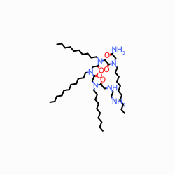 CCCCCCCCCCCN(CC(N)=O)C(=O)CN(CCCCCCCCCC)C(=O)CN(CCCCCCCCCCC)C(=O)CN(CCCCCCCCCC)C(=O)CNCCN